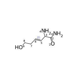 NC(=O)C(N)/C=C/CCO